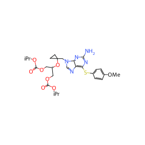 COc1ccc(Sc2nc(N)nc3c2ncn3CC2(O[C](COC(=O)OC(C)C)COC(=O)OC(C)C)CC2)cc1